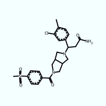 Cc1ccc(C(CC(N)=O)N2CC3CN(C(=O)c4ccc(S(C)(=O)=O)cc4)CC3C2)cc1Cl